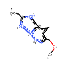 CCOc1cc2[nH]c(C(C)C)nn2n1